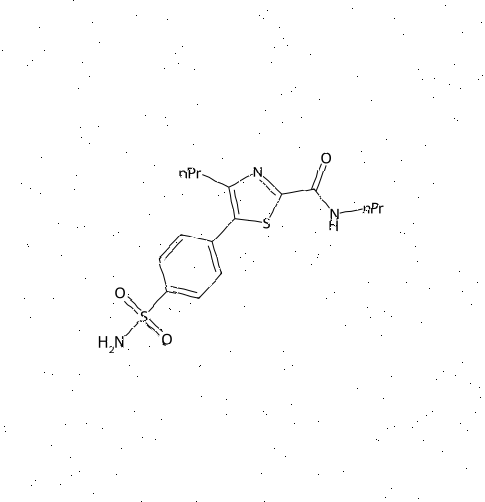 CCCNC(=O)c1nc(CCC)c(-c2ccc(S(N)(=O)=O)cc2)s1